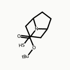 CC(C)(C)OC(=O)N1C2CCC1CC(S)C2